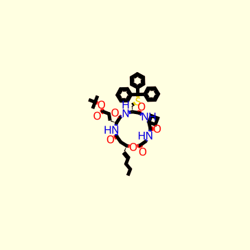 CCC/C=C/[C@@H]1CC(=O)N[C@H](CCC(=O)OC(C)(C)C)C(=O)N[C@H](CSC(c2ccccc2)(c2ccccc2)c2ccccc2)C(=O)NC2(CCC2)C(=O)NCC(=O)O1